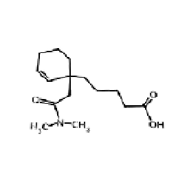 CN(C)C(=O)C[C@@]1(CCCCC(=O)O)C=CCCC1